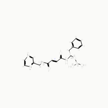 O=C(/C=C/C(=O)N[C@@H](Cc1ccccc1)OB(O)O)NCc1cnccn1